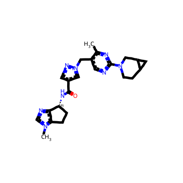 Cc1nc(N2CCC3CC3C2)ncc1Cn1cc(C(=O)N[C@@H]2CCc3c2ncn3C)cn1